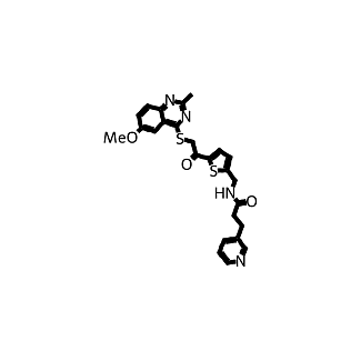 COc1ccc2nc(C)nc(SCC(=O)c3ccc(CNC(=O)CCc4cccnc4)s3)c2c1